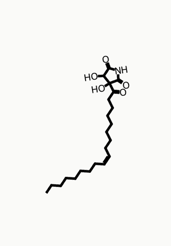 CCCCCCCC/C=C\CCCCCCCC(=O)C1(O)C(=O)NC(=O)C1O